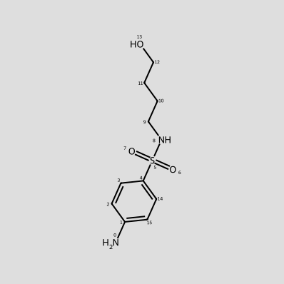 Nc1ccc(S(=O)(=O)NCCCCO)cc1